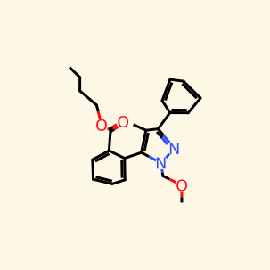 CCCCOC(=O)c1ccccc1-c1c(C)c(-c2ccccc2)nn1COC